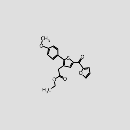 CCOC(=O)Cc1cc(C(=O)c2ccco2)sc1-c1ccc(OC)cc1